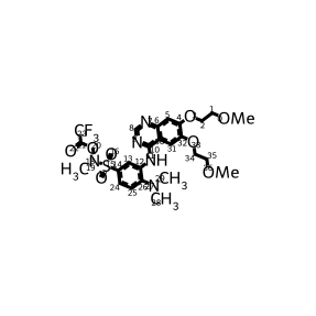 COCCOc1cc2ncnc(Nc3cc(S(=O)(=O)N(C)OC(=O)C(F)(F)F)ccc3N(C)C)c2cc1OCCOC